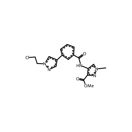 COC(=O)c1nn(C)cc1NC(=O)c1cccc(-c2cnn(CCCl)c2)c1